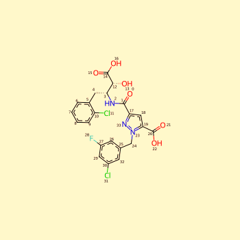 O=C(N[C@H](Cc1ccccc1Cl)[C@@H](O)C(=O)O)c1cc(C(=O)O)n(Cc2cc(F)cc(Cl)c2)n1